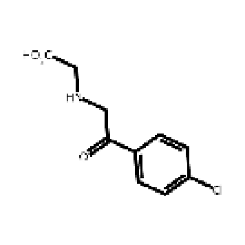 O=C(O)CNCC(=O)c1ccc(Cl)cc1